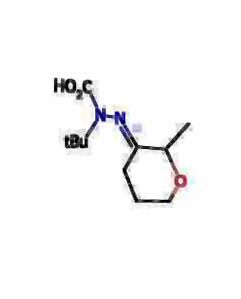 CC1OCCC/C1=N\N(C(=O)O)C(C)(C)C